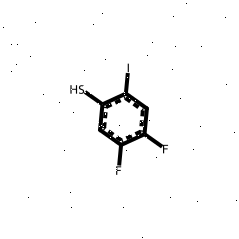 Fc1cc(S)c(I)cc1F